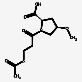 CO[C@@H]1C[C@@H](C(=O)O)N(C(=O)CCSC(C)=O)C1